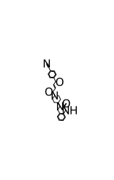 N#Cc1ccc(C(=O)C=CC(=O)N2CCC(N3Cc4ccccc4NC3=O)CC2)cc1